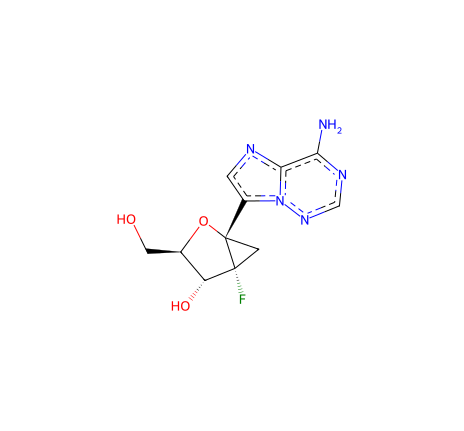 Nc1ncnn2c([C@@]34C[C@@]3(F)[C@H](O)[C@@H](CO)O4)cnc12